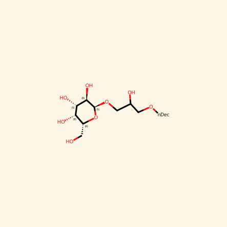 CCCCCCCCCCOCC(O)CO[C@H]1O[C@H](CO)[C@H](O)[C@H](O)[C@H]1O